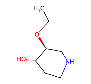 CCO[C@H]1CNCC[C@@H]1O